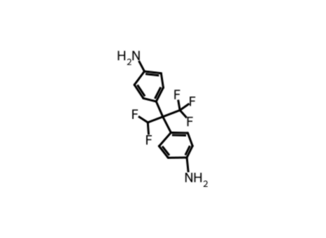 Nc1ccc(C(c2ccc(N)cc2)(C(F)F)C(F)(F)F)cc1